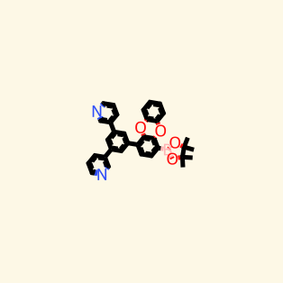 CC1(C)OB(c2ccc(-c3cc(-c4cccnc4)cc(-c4cccnc4)c3)c3c2Oc2ccccc2O3)OC1(C)C